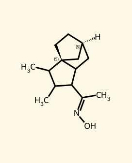 CC(=NO)C1C(C)C(C)[C@@]23CC[C@@H](CC12)C3